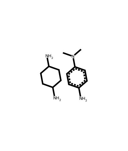 CN(C)c1ccc(N)cc1.NC1CCC(N)CC1